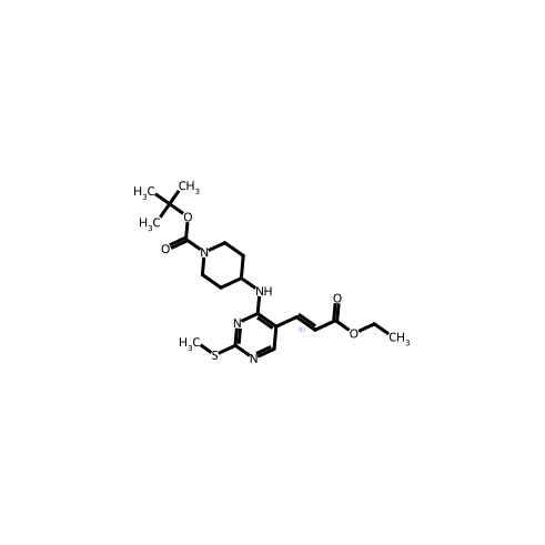 CCOC(=O)/C=C/c1cnc(SC)nc1NC1CCN(C(=O)OC(C)(C)C)CC1